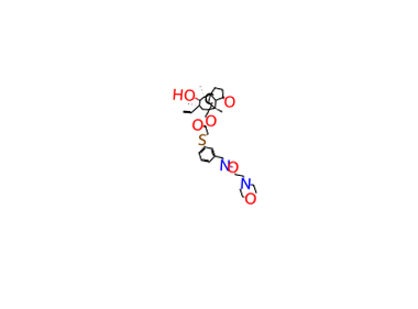 C=C[C@]1(C)C[C@@H](OC(=O)CSc2cccc(/C=N/OCCN3CCOCC3)c2)[C@]2(C)C(C)CCC3(CCC(=O)C32)[C@@H](C)[C@@H]1O